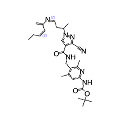 C=C(/C=C\CC)/N=C\CC(C)n1cc(C(=O)NCc2c(C)cc(NC(=O)OC(C)(C)C)nc2C)c(C#N)n1